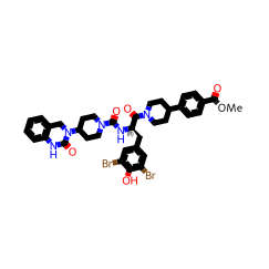 COC(=O)c1ccc(C2CCN(C(=O)[C@@H](Cc3cc(Br)c(O)c(Br)c3)NC(=O)N3CCC(N4Cc5ccccc5NC4=O)CC3)CC2)cc1